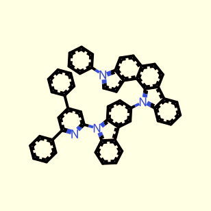 c1ccc(-c2cc(-c3ccccc3)nc(-n3c4ccccc4c4cc(-n5c6ccccc6c6ccc7ccc8c(ccn8-c8ccccc8)c7c65)ccc43)c2)cc1